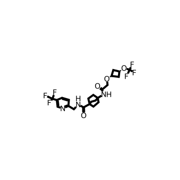 O=C(CO[C@H]1C[C@@H](OC(F)(F)F)C1)NC12CCC(C(=O)NCc3ccc(C(F)(F)F)cn3)(CC1)CC2